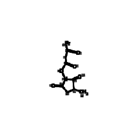 CC(C)C(=O)CC(=O)ON1C(=O)CC(C)C1=O